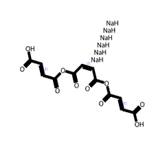 O=C(O)/C=C/C(=O)OC(=O)/C=C\C(=O)OC(=O)/C=C/C(=O)O.[NaH].[NaH].[NaH].[NaH].[NaH].[NaH]